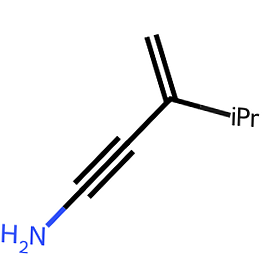 C=C(C#CN)C(C)C